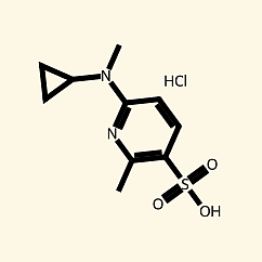 Cc1nc(N(C)C2CC2)ccc1S(=O)(=O)O.Cl